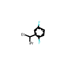 CCC(c1cc(F)ccc1F)C(C)C